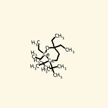 CCC1(CC)C[CH2][Ge]([C](C)(C)C)([C](C)(C)C)[Ge]([CH2]C)([CH2]C)[O]1